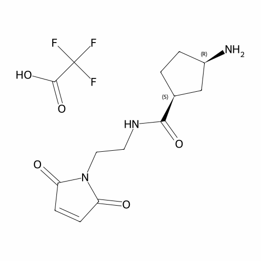 N[C@@H]1CC[C@H](C(=O)NCCN2C(=O)C=CC2=O)C1.O=C(O)C(F)(F)F